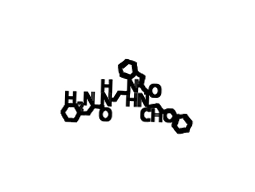 N[C@H](CC1CCCCC1)C(=O)NCCCn1c(C(=O)N[C@@H]([C]=O)CCCc2ccccc2)cc2ccccc21